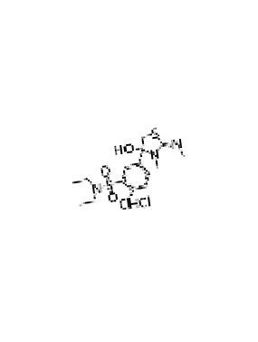 CCN(CC)S(=O)(=O)c1cc(C2(O)CSC(=NC)N2C)ccc1Cl.Cl